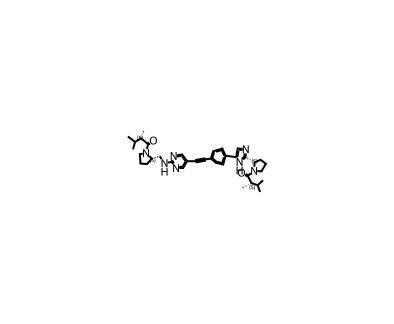 CC(C)[C@H](C)C(=O)N1CCC[C@H]1CNc1ncc(C#Cc2ccc(-c3cnc([C@@H]4CCCN4C(=O)[C@@H](C)C(C)C)[nH]3)cc2)cn1